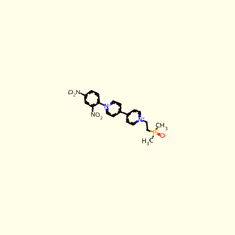 CP(C)(=O)CC[n+]1ccc(-c2cc[n+](-c3ccc([N+](=O)[O-])cc3[N+](=O)[O-])cc2)cc1